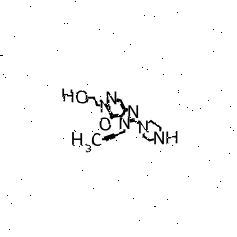 CC#CCn1c(N2CCNCC2)nc2cnn(CCO)c(=O)c21